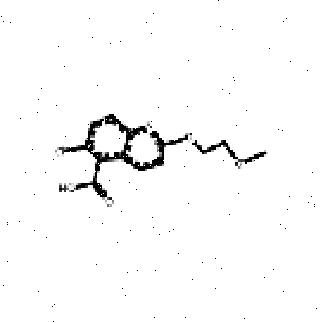 COCCOc1ccc2c(C(=O)O)c(Cl)ccc2n1